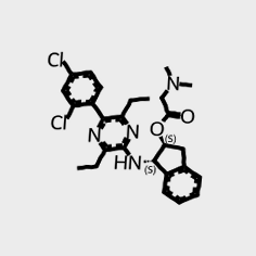 CCc1nc(-c2ccc(Cl)cc2Cl)c(CC)nc1N[C@H]1c2ccccc2C[C@@H]1OC(=O)CN(C)C